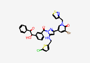 O=C(c1ccccc1)C(O)c1cccc(C(=O)n2nc(-c3cc(Br)c(=O)n(Cc4ccsn4)c3)cc2NCc2ccc(Cl)s2)c1